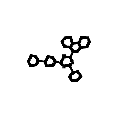 c1ccc(-c2ccc(-c3nc(-c4ccccc4)nc(-c4cc5ccccc5c5ccccc45)n3)cc2)cc1